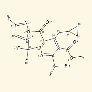 COC(=O)c1c(C(F)F)nc(C(F)(F)F)c(C(=O)n2ccc(F)n2)c1CC1CC1